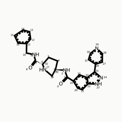 O=C(N[C@@H]1CC[C@@H](C(=O)NCc2ccccc2)NC1)c1ccc2[nH]nc(-c3ccncc3)c2c1